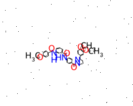 CCOc1cc(C2=NN(C(=O)c3ccc(NC(=O)c4cccc(NC(=O)c5ccc(OC)cc5)c4)cc3)CCC2)ccc1OC